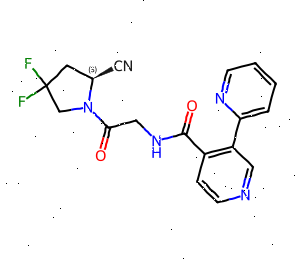 N#C[C@@H]1CC(F)(F)CN1C(=O)CNC(=O)c1ccncc1-c1ccccn1